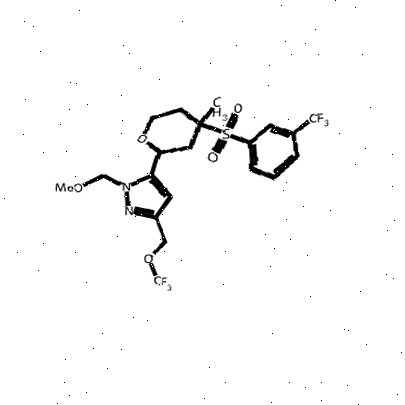 COCn1nc(COC(F)(F)F)cc1C1CC(C)(S(=O)(=O)c2cccc(C(F)(F)F)c2)CCO1